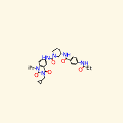 CCC(=O)Nc1ccc(C(=O)N[C@@H]2CCCN(C(=O)Nc3ccc4c(c3)c(=O)n(CC3CC3)c(=O)n4C(C)C)C2)cc1